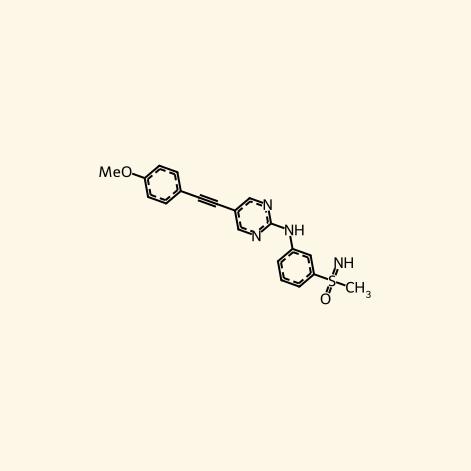 COc1ccc(C#Cc2cnc(Nc3cccc(S(C)(=N)=O)c3)nc2)cc1